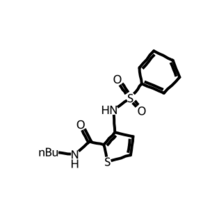 CCCCNC(=O)c1sccc1NS(=O)(=O)c1ccccc1